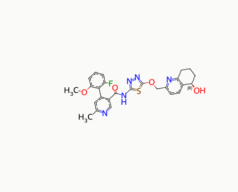 COc1cccc(F)c1-c1cc(C)ncc1C(=O)Nc1nnc(OCc2ccc3c(n2)CCC[C@H]3O)s1